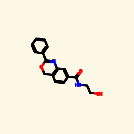 O=C(NCCO)c1ccc2c(c1)N=C(c1ccccc1)OC2